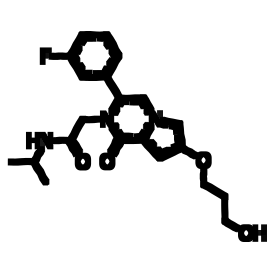 CC(C)NC(=O)Cn1c(-c2cccc(F)c2)cn2cc(OCCCO)cc2c1=O